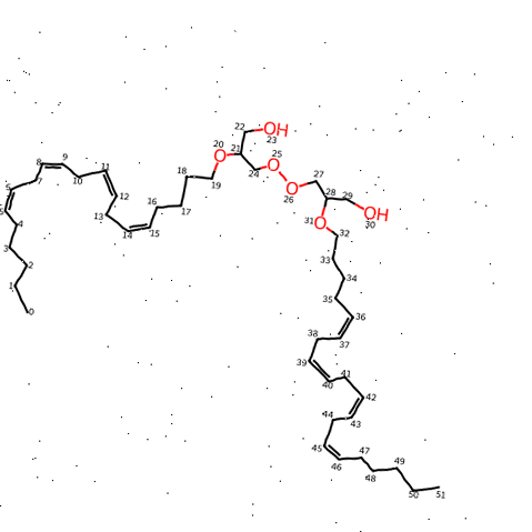 CCCCC/C=C\C/C=C\C/C=C\C/C=C\CCCCOC(CO)COOCC(CO)OCCCC/C=C\C/C=C\C/C=C\C/C=C\CCCCC